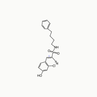 N#C/C(=C\c1ccc(O)cc1Cl)S(=O)(=O)NCCCCc1ccccc1